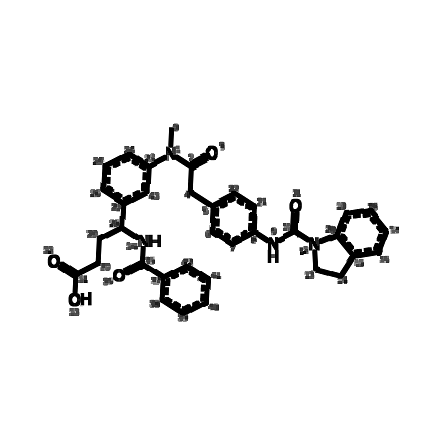 CN(C(=O)Cc1ccc(NC(=O)N2CCc3ccccc32)cc1)c1cccc(C(CCC(=O)O)NC(=O)c2ccccc2)c1